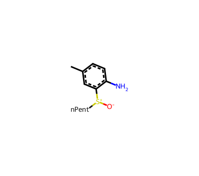 CCCCC[S+]([O-])c1cc(C)ccc1N